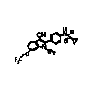 CC(C)n1c(-c2ccc(NS(=O)(=O)C3CC3)cc2)c(C#N)c2ccc(OCC(F)(F)F)cc21